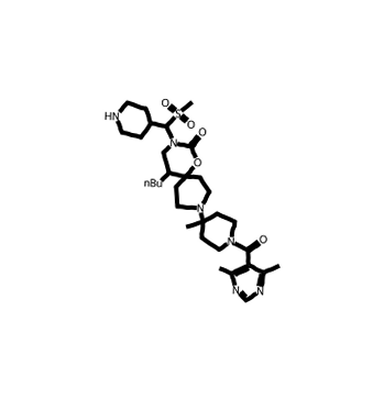 CCCCC1CN(C(C2CCNCC2)S(C)(=O)=O)C(=O)OC12CCN(C1(C)CCN(C(=O)c3c(C)ncnc3C)CC1)CC2